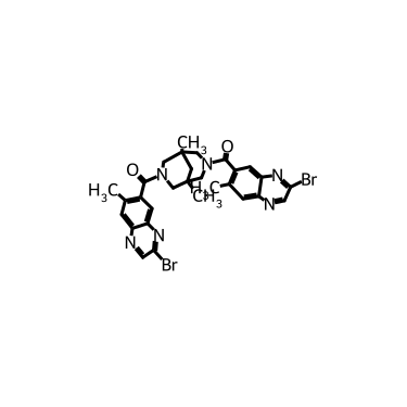 Cc1cc2ncc(Br)nc2cc1C(=O)N1CC2(C)CN(C(=O)c3cc4nc(Br)cnc4cc3C)CC(C)(C1)C2